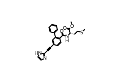 COC(=O)[C@H](CCSC)NC(=O)c1ccc(C#Cc2ncc[nH]2)cc1-c1ccccc1